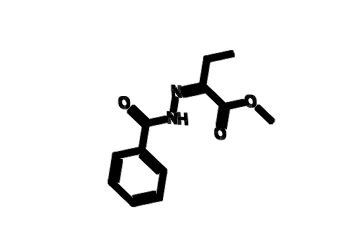 CCC(=NNC(=O)c1ccccc1)C(=O)OC